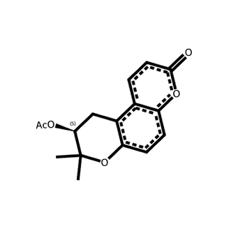 CC(=O)O[C@H]1Cc2c(ccc3oc(=O)ccc23)OC1(C)C